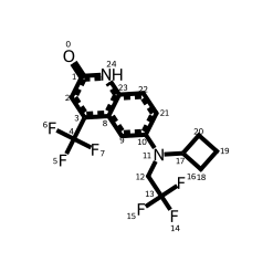 O=c1cc(C(F)(F)F)c2cc(N(CC(F)(F)F)C3CCC3)ccc2[nH]1